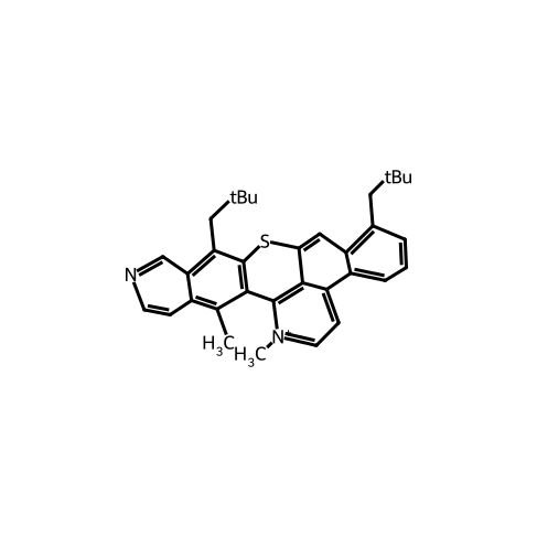 Cc1c2c(c(CC(C)(C)C)c3cnccc13)Sc1cc3c(CC(C)(C)C)cccc3c3cc[n+](C)c-2c13